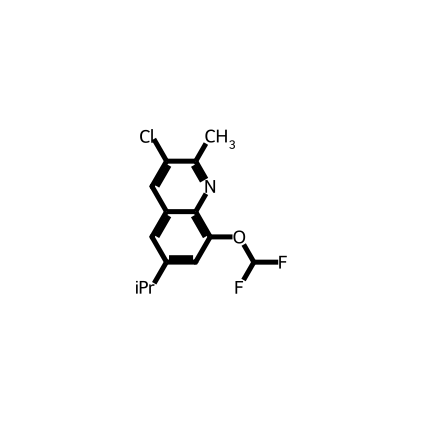 Cc1nc2c(OC(F)F)cc(C(C)C)cc2cc1Cl